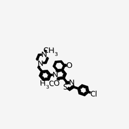 Cc1ccc(CN2CCN(C)CC2)cc1-n1c2c(cc(-c3nc(-c4ccc(Cl)cc4)cs3)c1=O)C(=O)CCC2